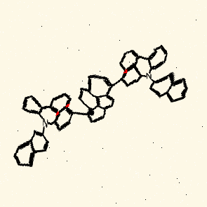 c1ccc(-c2ccccc2N(c2ccc(-c3ccc4ccc5c(-c6ccc(N(c7ccc8ccccc8c7)c7ccccc7-c7ccccc7)cc6)ccc6ccc3c4c65)cc2)c2ccc3ccccc3c2)cc1